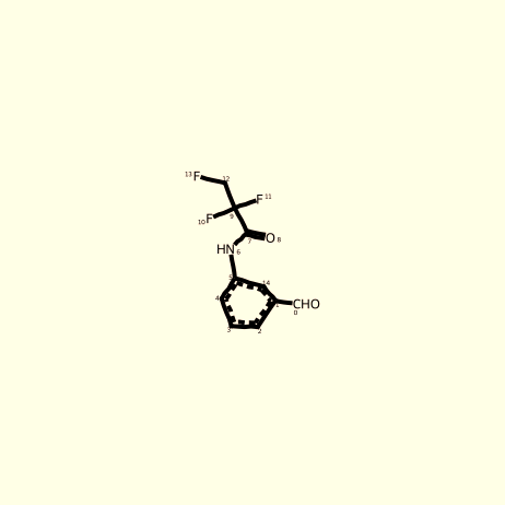 O=Cc1cccc(NC(=O)C(F)(F)CF)c1